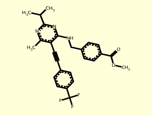 COC(=O)c1ccc(CNc2nc(C(C)C)nc(C)c2C#Cc2ccc(C(F)(F)F)cc2)cc1